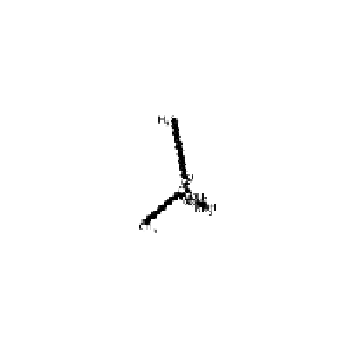 CCCCCCCCCCCCCCCCCC(=O)OC[C@H](COP(=O)(O)OC[C@H](N)C(=O)O)OC(=O)CCCCCCCCCCCCCC